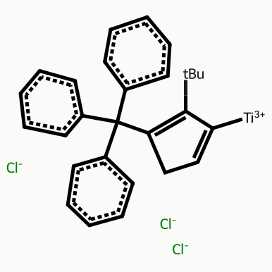 CC(C)(C)C1=C(C(c2ccccc2)(c2ccccc2)c2ccccc2)CC=[C]1[Ti+3].[Cl-].[Cl-].[Cl-]